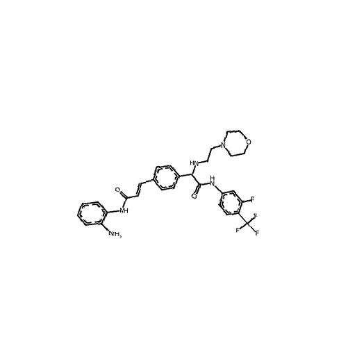 Nc1ccccc1NC(=O)/C=C/c1ccc(C(NCCN2CCOCC2)C(=O)Nc2ccc(C(F)(F)F)c(F)c2)cc1